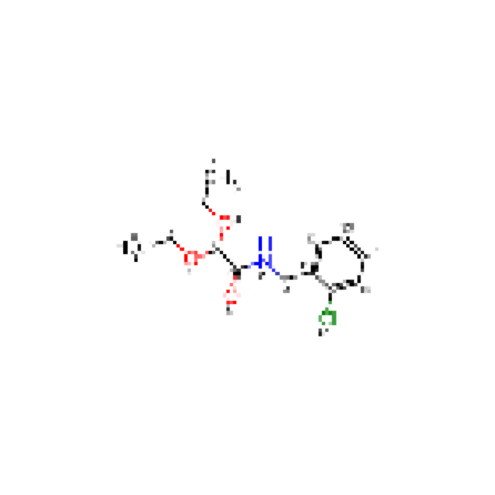 CCOC(OCC)C(=O)NCc1ccccc1Cl